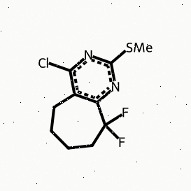 CSc1nc(Cl)c2c(n1)C(F)(F)CCCC2